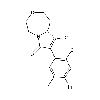 Cc1cc(-c2c(Cl)n3n(c2=O)CCOCC3)c(Cl)cc1Cl